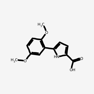 COc1ccc(OC)c(-c2ccc(C(=O)O)[nH]2)c1